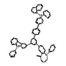 C=C1/C=C\C=C/CN(c2ccccc2)c2ccc(-c3cc(-c4ccc(-c5ccc(N(c6ccccc6)c6cccc7ccccc67)cc5)cc4)cc(-c4ccc5c(c4)c4ccccc4n5-c4ccccc4)c3)cc21